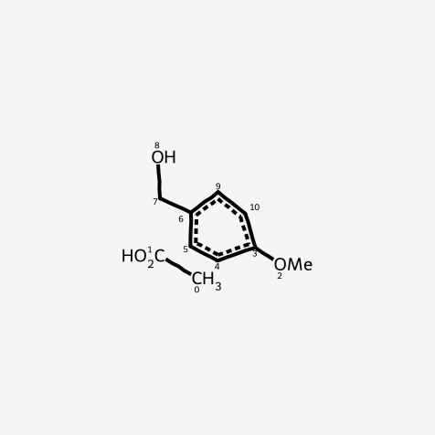 CC(=O)O.COc1ccc(CO)cc1